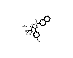 CCCCCC(Cc1ccc(C#N)cc1)(NS(=O)(=O)c1ccc2ccccc2c1)C(=O)NCCCC